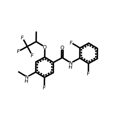 CNc1cc(OC(C)C(F)(F)F)c(C(=O)Nc2c(F)cccc2F)cc1F